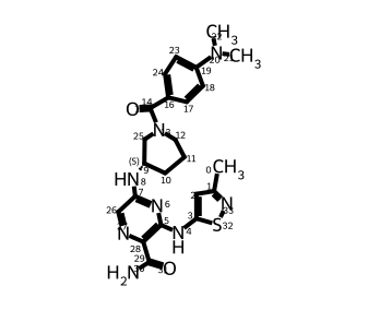 Cc1cc(Nc2nc(N[C@H]3CCCN(C(=O)c4ccc(N(C)C)cc4)C3)cnc2C(N)=O)sn1